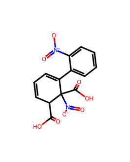 O=C(O)C1C=CC=C(c2ccccc2[N+](=O)[O-])C1(C(=O)O)[N+](=O)[O-]